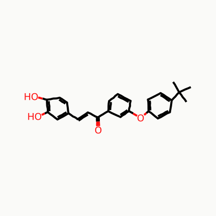 CC(C)(C)c1ccc(Oc2cccc(C(=O)/C=C/c3ccc(O)c(O)c3)c2)cc1